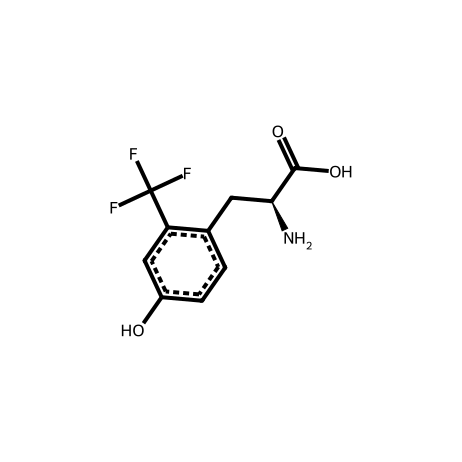 N[C@@H](Cc1ccc(O)cc1C(F)(F)F)C(=O)O